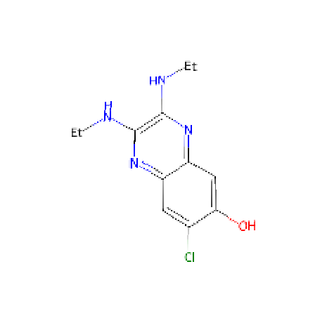 CCNc1nc2cc(O)c(Cl)cc2nc1NCC